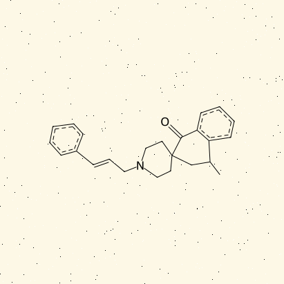 CC1CC2(CCN(C/C=C/c3ccccc3)CC2)C(=O)c2ccccc21